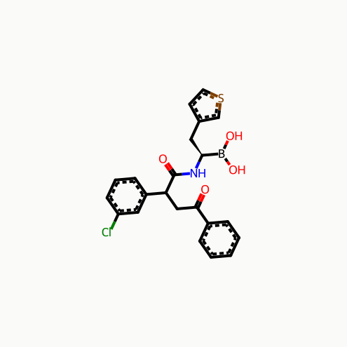 O=C(CC(C(=O)N[C@@H](Cc1ccsc1)B(O)O)c1cccc(Cl)c1)c1ccccc1